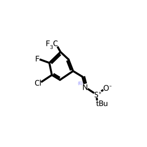 CC(C)(C)[S+]([O-])/N=C/c1cc(Cl)c(F)c(C(F)(F)F)c1